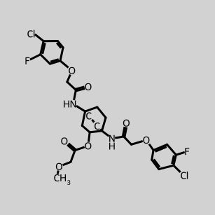 COCC(=O)OC1CC2(NC(=O)COc3ccc(Cl)c(F)c3)CCC1(NC(=O)COc1ccc(Cl)c(F)c1)CC2